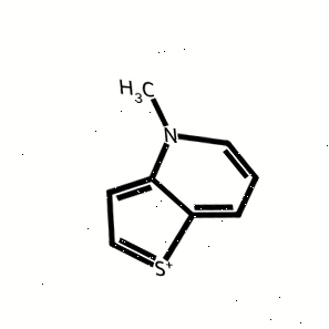 Cn1cccc2[s+]ccc1-2